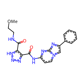 COCCNC(=O)c1[nH]nnc1C(=O)Nc1ccn2cc(-c3ccccc3)nc2n1